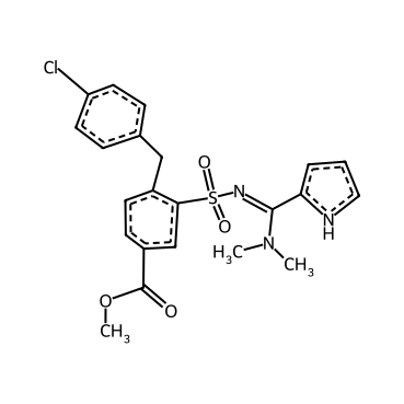 COC(=O)c1ccc(Cc2ccc(Cl)cc2)c(S(=O)(=O)N=C(c2ccc[nH]2)N(C)C)c1